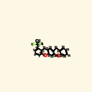 FC(F)(F)C(F)(F)c1cccc2c1Cc1cc3c(cc1O2)Oc1ccccc1C3